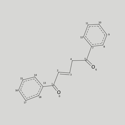 O=C(C=CCC(=O)c1ccccc1)c1ccccc1